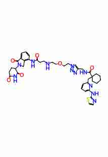 O=C1CCC(N2Cc3c(NC(=O)CCNCCOCCn4cc(CNC(=O)C5(Cc6cccc(Nc7nccs7)n6)CCCCC5)nn4)cccc3C2=O)C(=O)N1